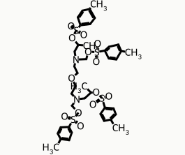 Cc1ccc(S(=O)(=O)OCN(CCOCCN(COS(=O)(=O)c2ccc(C)cc2)CC(C)OS(=O)(=O)c2ccc(C)cc2)CC(C)OS(=O)(=O)c2ccc(C)cc2)cc1